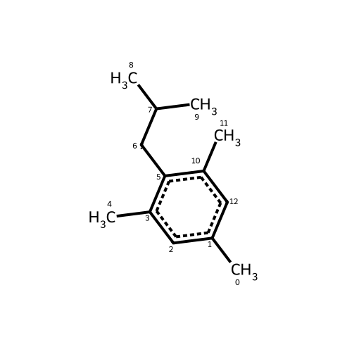 Cc1cc(C)c([CH]C(C)C)c(C)c1